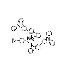 N#Cc1ccc(-c2cc(-n3c4ccccc4c4ccc(-c5ccc6c(c5)c5ccccc5n6-c5ccccc5)cc43)nc(-n3c4ccccc4c4ccc(-c5ccc6c(c5)c5ccccc5n6-c5ccccc5)cc43)n2)cc1